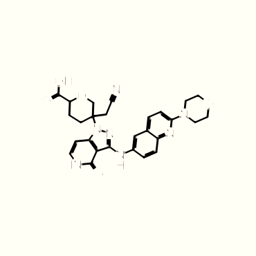 N#CCC1(n2nc(Nc3ccc4nc(N5CCOCC5)ccc4c3)c3c(=O)[nH]ccc32)CCC(C(=O)O)OC1